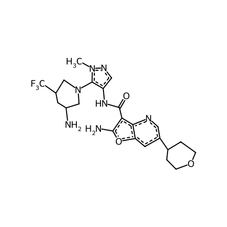 Cn1ncc(NC(=O)c2c(N)oc3cc(C4CCOCC4)cnc23)c1N1CC(N)CC(C(F)(F)F)C1